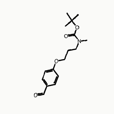 CN(CCCOc1ccc(C=O)cc1)C(=O)OC(C)(C)C